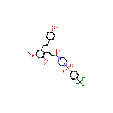 COc1cc(C=Cc2ccc(O)cc2)c(C=CC(=O)N2CCN(S(=O)(=O)c3ccc(C(F)(F)F)cc3)CC2)c(OC)c1